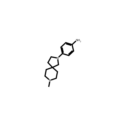 CN1CCC2(CC1)CCN(c1ccc(N)cc1)C2